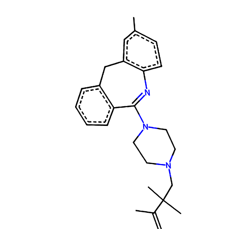 C=C(C)C(C)(C)CN1CCN(C2=Nc3ccc(C)cc3Cc3ccccc32)CC1